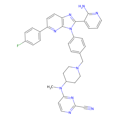 CN(c1ccnc(C#N)n1)C1CCN(Cc2ccc(-n3c(-c4cccnc4N)nc4ccc(-c5ccc(F)cc5)nc43)cc2)CC1